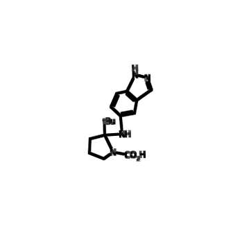 CC(C)(C)C1(Nc2ccc3[nH]ncc3c2)CCCN1C(=O)O